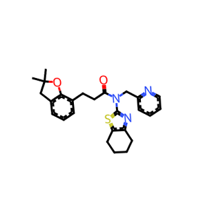 CC1(C)Cc2cccc(CCC(=O)N(Cc3ccccn3)c3nc4c(s3)CCCC4)c2O1